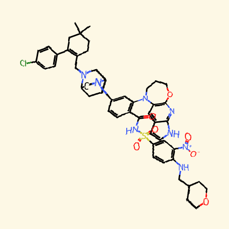 CC1(C)CCC(CN2CC3CCC2CN3c2ccc(C(=O)NS(=O)(=O)c3ccc(NCC4CCOCC4)c([N+](=O)[O-])c3)c(N3CCCOc4nc5[nH]ccc5cc43)c2)=C(c2ccc(Cl)cc2)C1